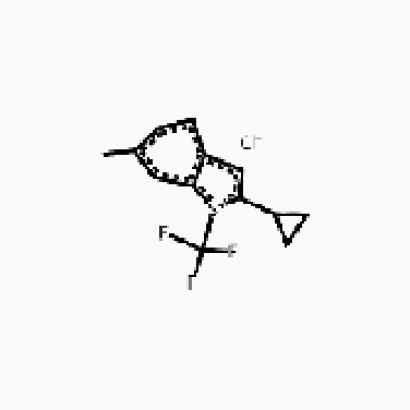 Cc1ccc2cc(C3CC3)[s+](C(F)(F)F)c2c1.[Cl-]